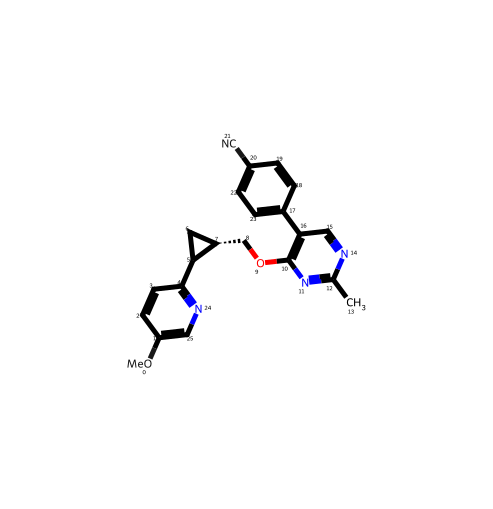 COc1ccc(C2C[C@@H]2COc2nc(C)ncc2-c2ccc(C#N)cc2)nc1